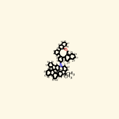 CC1(C)c2ccccc2-c2c(N(c3ccc4c(c3)-c3ccc5ccccc5c3COc3c(ccc5ccccc35)-c3ccccc3-4)c3ccc4c(c3)-c3ccccc3C43c4ccccc4-c4ccccc43)cccc21